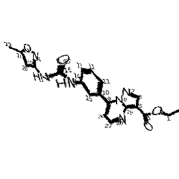 CCOC(=O)c1cnn2c(-c3cccc(NC(=O)Nc4cc(C)on4)c3)ccnc12